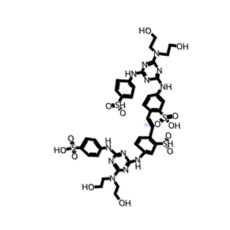 O=[SH](=O)c1ccc(Nc2nc(Nc3ccc(/C=C/c4ccc(Nc5nc(Nc6ccc(S(=O)(=O)O)cc6)nc(N(CCO)CCO)n5)cc4[SH](=O)=O)c(S(=O)(=O)O)c3)nc(N(CCO)CCO)n2)cc1